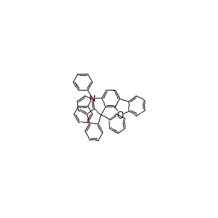 c1ccc(N(c2ccccc2)c2ccc3c(oc4ccccc43)c2C2(c3ccccc3)c3ccccc3-c3ccccc32)cc1